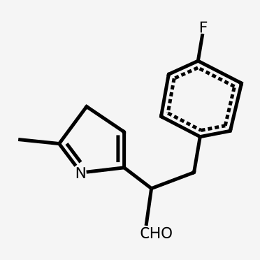 CC1=NC(C(C=O)Cc2ccc(F)cc2)=CC1